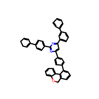 C1=CC(c2ccc(-c3nc(-c4ccc(-c5cccc6c5-c5ccccc5OC6)cc4)cc(-c4cccc(-c5ccccc5)c4)n3)cc2)=CCC1